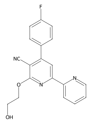 N#Cc1c(-c2ccc(F)cc2)cc(-c2ccccn2)nc1OCCO